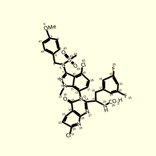 COc1ccc(CN(c2nn(C)c3c(-n4c(C(Cc5cc(F)cc(F)c5)NC(=O)O)nc5nc(Cl)ccc5c4=O)ccc(Cl)c23)S(C)(=O)=O)cc1